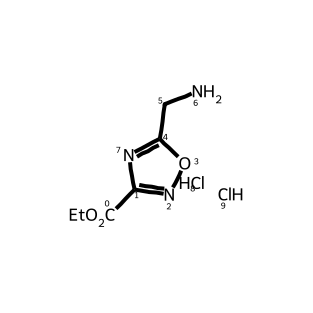 CCOC(=O)c1noc(CN)n1.Cl.Cl